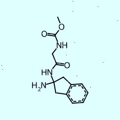 COC(=O)NCC(=O)NC1(N)Cc2ccccc2C1